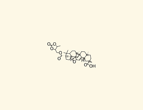 CC1OC(=O)OC1COC(=O)[C@H]1CC[C@@]2(C)C(CC[C@]3(C)[C@@H]2C(=O)C=C2[C@@H]4C[C@@](C)(C(=O)O)CC[C@]4(C)CC[C@]23C)C1(C)C